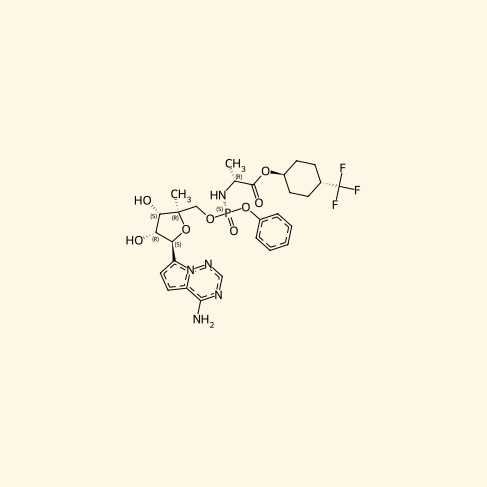 C[C@@H](N[P@](=O)(OC[C@@]1(C)O[C@@H](c2ccc3c(N)ncnn23)[C@H](O)[C@@H]1O)Oc1ccccc1)C(=O)O[C@H]1CC[C@H](C(F)(F)F)CC1